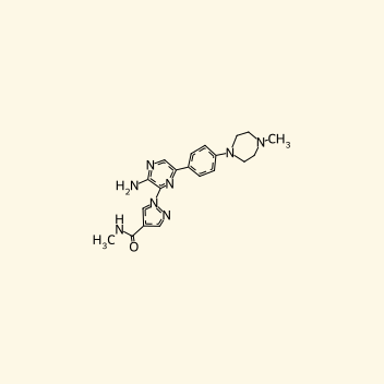 CNC(=O)c1cnn(-c2nc(-c3ccc(N4CCN(C)CC4)cc3)cnc2N)c1